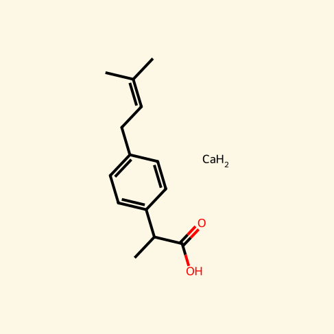 CC(C)=CCc1ccc(C(C)C(=O)O)cc1.[CaH2]